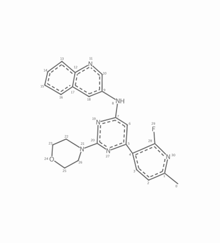 Cc1ccc(-c2cc(Nc3cnc4ccccc4c3)nc(N3CCOCC3)n2)c(F)n1